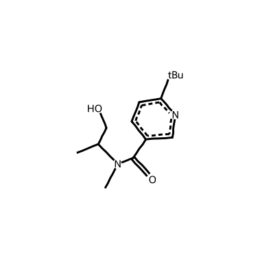 CC(CO)N(C)C(=O)c1ccc(C(C)(C)C)nc1